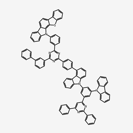 c1ccc(-c2cccc(-c3nc(-c4ccc(-c5cccc6c5c5ccccc5n6-c5cc(-c6cc(-c7ccccc7)nc(-c7ccccc7)n6)cc(-n6c7ccccc7c7ccccc76)c5)cc4)nc(-c4cccc(-n5c6ccccc6c6ccc7c8ccccc8sc7c65)c4)n3)c2)cc1